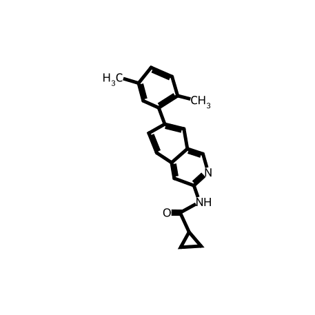 Cc1ccc(C)c(-c2ccc3cc(NC(=O)C4CC4)ncc3c2)c1